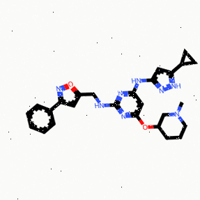 CN1CCCC(Oc2cc(Nc3cc(C4CC4)[nH]n3)nc(NCc3cc(-c4ccccc4)no3)n2)C1